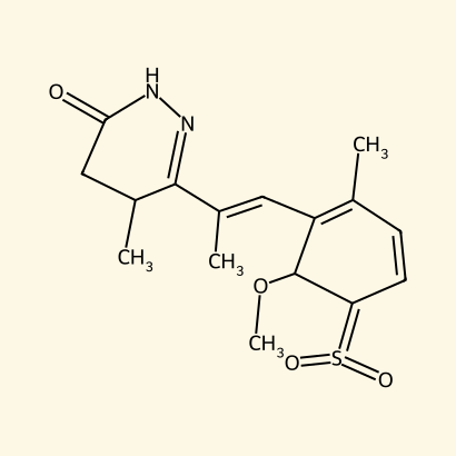 COC1C(C=C(C)C2=NNC(=O)CC2C)=C(C)C=CC1=S(=O)=O